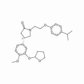 COc1ccc([C@@H]2CC(=O)N(CCOc3ccc(C(C)C)cc3)C2)cc1OC1CCCO1